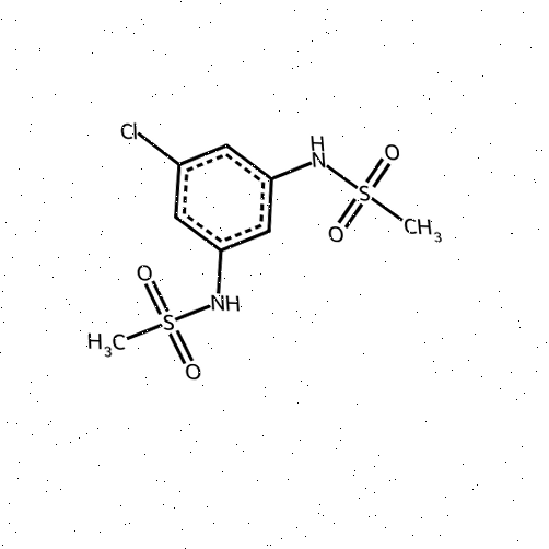 CS(=O)(=O)Nc1cc(Cl)cc(NS(C)(=O)=O)c1